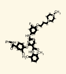 Cc1cccc(C)c1NC(=O)c1cnc(Nc2ccc(OCCCN3CCN(C)CC3)c(F)c2)nc1Oc1ccc(C(=O)NC(C)C)cc1Cl